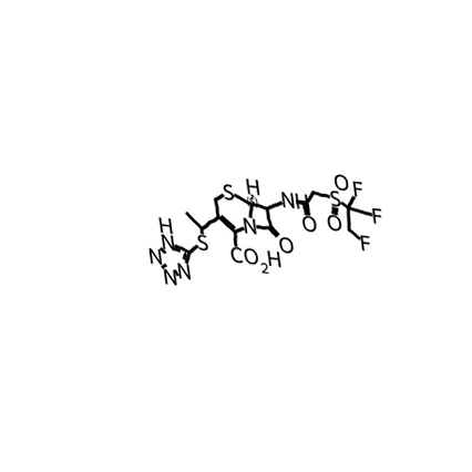 CC(Sc1nnn[nH]1)C1=C(C(=O)O)N2C(=O)C(NC(=O)CS(=O)(=O)C(F)(F)CF)[C@@H]2SC1